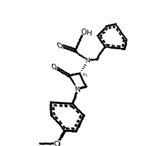 COc1ccc(N2C[C@@H](N(Cc3ccccc3)C(=O)O)C2=O)cc1